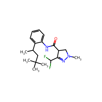 CC(CC(C)(C)C)c1ccccc1NC(=O)C1CN(C)N=C1C(F)F